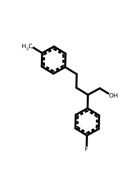 Cc1ccc(CCC(CO)c2ccc(F)cc2)cc1